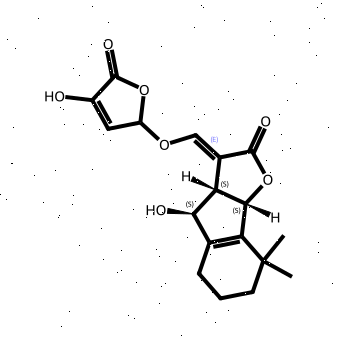 CC1(C)CCCC2=C1[C@H]1OC(=O)/C(=C/OC3C=C(O)C(=O)O3)[C@H]1[C@@H]2O